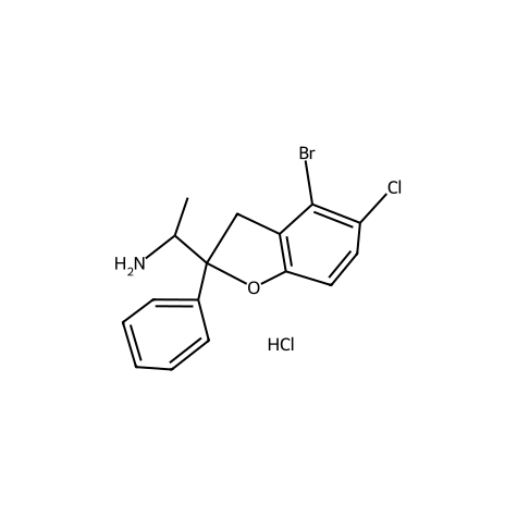 CC(N)C1(c2ccccc2)Cc2c(ccc(Cl)c2Br)O1.Cl